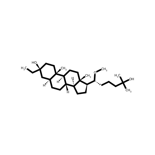 CC[C@]1(O)CC[C@@]2(C)[C@@H](CC[C@@H]3[C@@H]2CC[C@]2(C)[C@@H]([C@@H](CCCC(C)(C)O)OC)CC[C@@H]32)C1